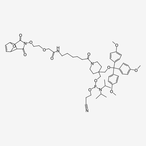 COc1ccc(C(OCC2(COP(OCCC#N)N(C(C)C)C(C)C)CCN(C(=O)CCCCCNC(=O)COCCON3C(=O)C4C5C=CC(O5)C4C3=O)CC2)(c2ccc(OC)cc2)c2ccc(OC)cc2)cc1